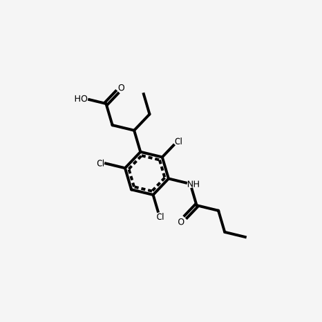 CCCC(=O)Nc1c(Cl)cc(Cl)c(C(CC)CC(=O)O)c1Cl